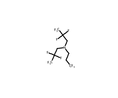 FC(F)(F)CCN(CC(F)(F)C(F)(F)F)CC(F)(F)C(F)(F)F